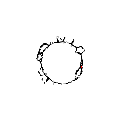 C[C@@H]1CC(=O)[C@H]2CSC(=N2)c2ccc3cc(ccc3n2)OCCCNC(=O)[C@H]2CSC(=N2)c2nc3ccc(cc3s2)NC1=O